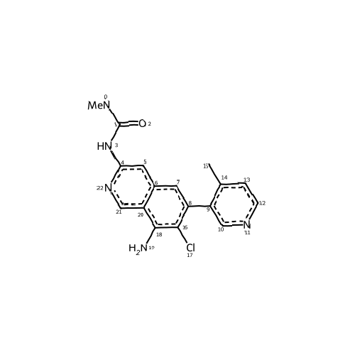 CNC(=O)Nc1cc2cc(-c3cnccc3C)c(Cl)c(N)c2cn1